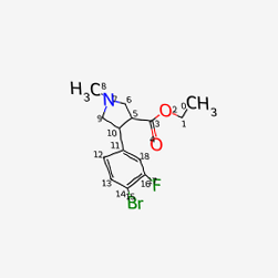 CCOC(=O)C1CN(C)CC1c1ccc(Br)c(F)c1